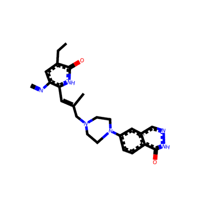 C=Nc1cc(CC)c(=O)[nH]c1/C=C(\C)CN1CCN(c2ccc3c(=O)[nH]ncc3c2)CC1